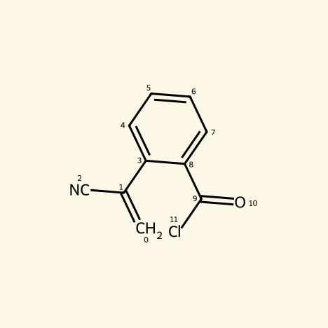 C=C(C#N)c1ccccc1C(=O)Cl